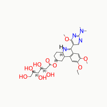 CCOc1cc2c(cc1OC)C(c1cnc(N(C)C)nc1OC)=N[C@@H]1CC[C@@H](OC(=O)[C@H](O)[C@@H](O)[C@H](O)[C@H](O)CO)CC21